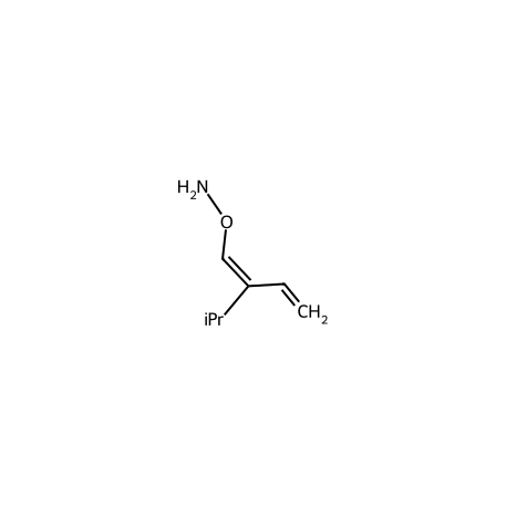 C=C/C(=C\ON)C(C)C